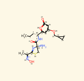 CCC[C@@H](NC(=O)[C@]1(N)CSC(/C(C)=N\O)=N1)c1cc(OCC2CC2)cc(=O)o1